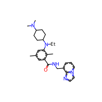 CCN(c1cc(C)cc(C(=O)NCc2cccn3ccnc23)c1C)C1CCC(N(C)C)CC1